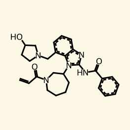 C=CC(=O)N1CCCCC(n2c(NC(=O)c3ccccc3)nc3cccc(CN4CCC(O)C4)c32)C1